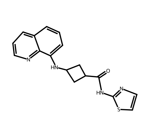 O=C(Nc1nccs1)C1CC(Nc2cccc3cccnc23)C1